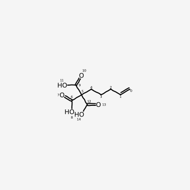 C=CCCCC(C(=O)O)(C(=O)O)C(=O)O